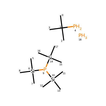 CC(C)(C)P.C[Si](C)(C)P([Si](C)(C)C)[Si](C)(C)C.P